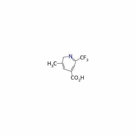 CC1=CC(C(=O)O)=CC(C(F)(F)F)=NC1